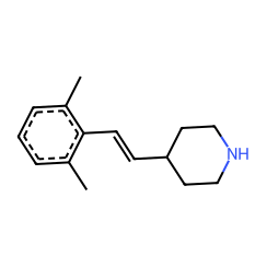 Cc1cccc(C)c1C=CC1CCNCC1